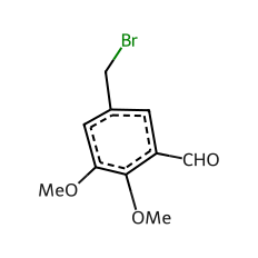 COc1cc(CBr)cc(C=O)c1OC